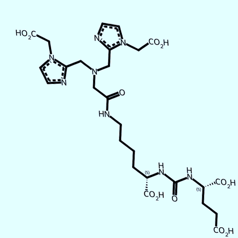 O=C(O)CC[C@H](NC(=O)N[C@@H](CCCCNC(=O)CN(Cc1nccn1CC(=O)O)Cc1nccn1CC(=O)O)C(=O)O)C(=O)O